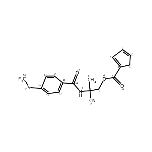 CC(C#N)(COC(=O)C1=CC=CC1)NC(=O)c1ccc(SC(F)(F)F)cc1